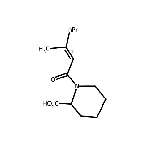 CCC/C(C)=C/C(=O)N1CCCCC1C(=O)O